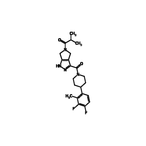 Cc1c(C2CCN(C(=O)c3n[nH]c4c3CN(C(=O)C(C)C)C4)CC2)ccc(F)c1F